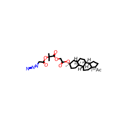 CC(=O)[C@H]1CC[C@H]2[C@@H]3CC[C@H]4C[C@](C)(OC(=O)COC(=O)C(C)(C)OC(=O)CN=[N+]=[N-])CC[C@]4(C)[C@H]3CC[C@]12C